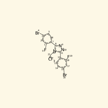 Fc1cc(Br)ccc1-c1nnc(-c2ccc(Br)cc2F)n1CC(F)(F)F